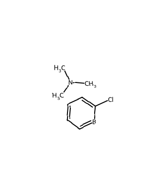 CN(C)C.Clc1bcccc1